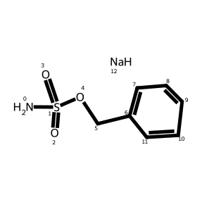 NS(=O)(=O)OCc1ccccc1.[NaH]